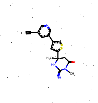 C#Cc1cncc(-c2csc([C@]3(C)CC(=O)N(C)C(=N)N3)c2)c1